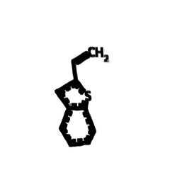 C=Cc1cc2ccccc2s1